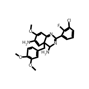 COC1=CC2=NC(c3cccc(Cl)c3F)=NC(N)C2(Cc2ccc(OC)c(OC)c2)C=C1N